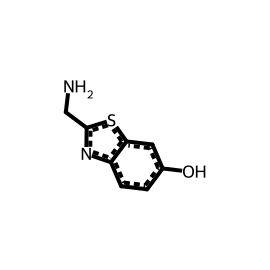 NCc1nc2ccc(O)cc2s1